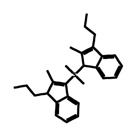 CCCC1=C(C)C(S(C)(C)C2=C(C)C(CCC)c3ccccc32)c2ccccc21